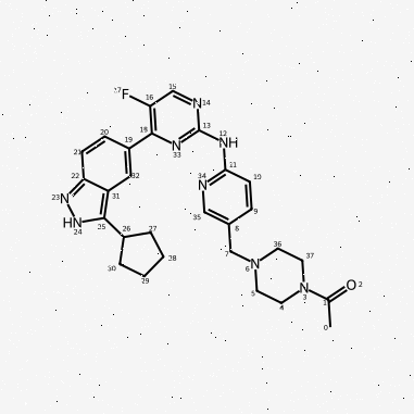 CC(=O)N1CCN(Cc2ccc(Nc3ncc(F)c(-c4ccc5n[nH]c(C6CCCC6)c5c4)n3)nc2)CC1